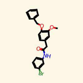 COc1cc(CC(=O)Nc2cccc(Br)c2)ccc1OCc1ccccc1